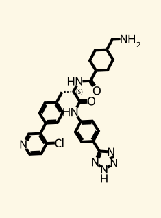 NCC1CCC(C(=O)N[C@@H](Cc2ccc(-c3cnccc3Cl)cc2)C(=O)Nc2ccc(-c3nn[nH]n3)cc2)CC1